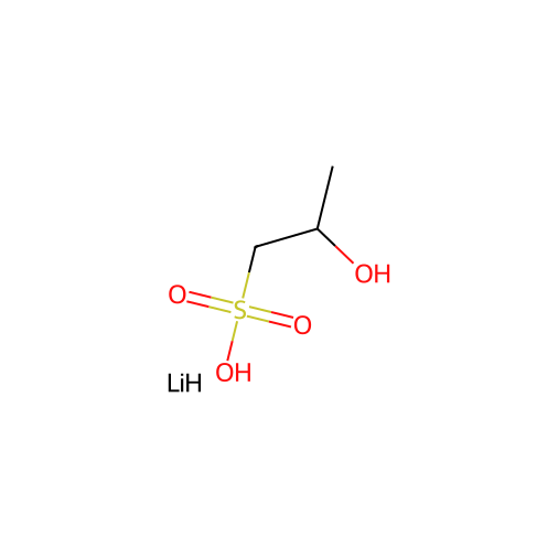 CC(O)CS(=O)(=O)O.[LiH]